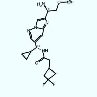 CC(C)(C)OC[C@H](N)c1cn2ncc([C@H](NC(=O)CC3CC(F)(F)C3)C3CC3)cc2n1